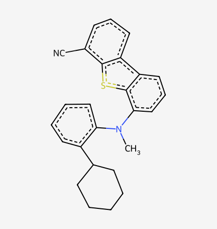 CN(c1ccccc1C1CCCCC1)c1cccc2c1sc1c(C#N)cccc12